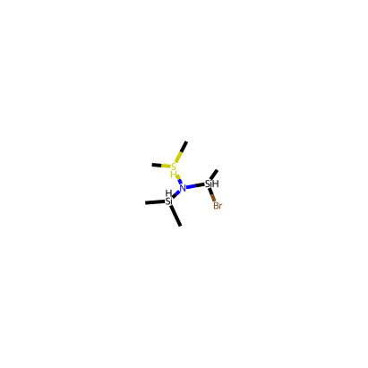 C[SiH](C)N([SiH](C)Br)[SH](C)C